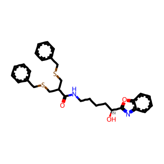 O=C(NCCCC[C@H](O)c1nc2ccccc2o1)C(CSCc1ccccc1)CSCc1ccccc1